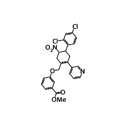 COC(=O)c1cccc(OCC2=C(c3cccnc3)CC(c3ccc(Cl)cc3Cl)C([N+](=O)[O-])C2)c1